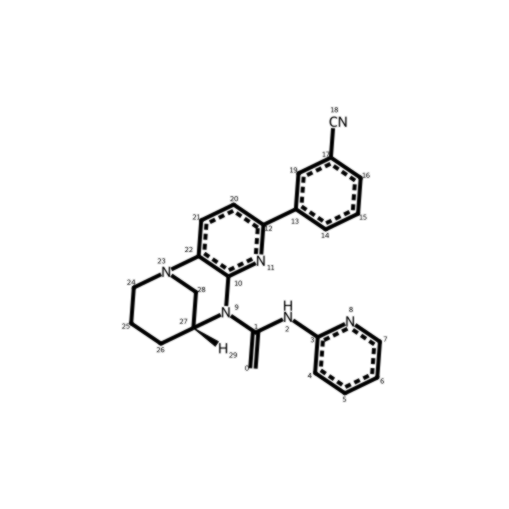 C=C(Nc1ccccn1)N1c2nc(-c3cccc(C#N)c3)ccc2N2CCC[C@@H]1C2